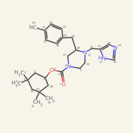 CC1(C)CC(OC(=O)N2CCN(Cc3cnc[nH]3)C(Cc3ccc(C#N)cc3)C2)CC(C)(C)C1